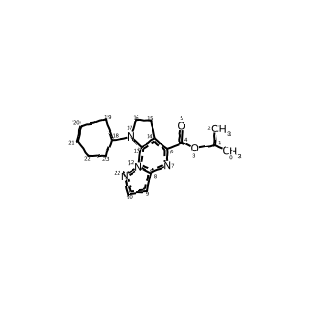 CC(C)OC(=O)c1nc2ccnn2c2c1CCN2C1CCCCC1